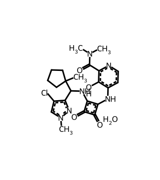 CN(C)C(=O)c1nccc(Nc2c(NC(c3nn(C)cc3Cl)C3(C)CCCC3)c(=O)c2=O)c1O.O